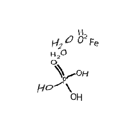 O.O.O.O=P(O)(O)O.[Fe]